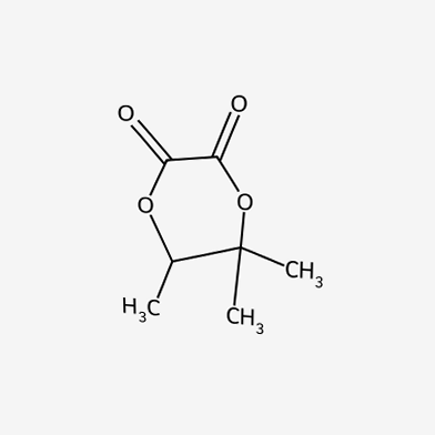 CC1OC(=O)C(=O)OC1(C)C